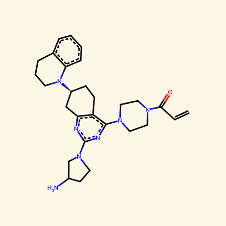 C=CC(=O)N1CCN(c2nc(N3CCC(N)C3)nc3c2CC[C@H](N2CCCc4ccccc42)C3)CC1